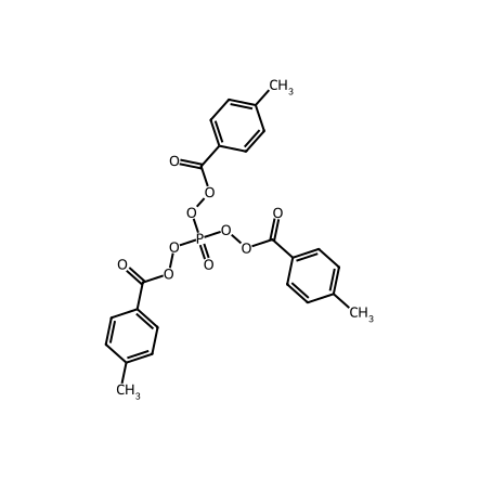 Cc1ccc(C(=O)OOP(=O)(OOC(=O)c2ccc(C)cc2)OOC(=O)c2ccc(C)cc2)cc1